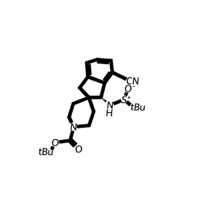 CC(C)(C)OC(=O)N1CCC2(CC1)Cc1cccc(C#N)c1[C@@H]2N[S+]([O-])C(C)(C)C